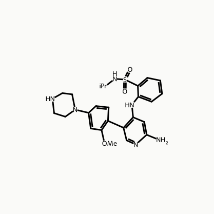 COc1cc(N2CCNCC2)ccc1-c1cnc(N)cc1Nc1ccccc1S(=O)(=O)NC(C)C